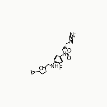 [N-]=[N+]=NC[C@H]1CN(c2ccc(NCC3CCC(C4CC4)O3)c(F)c2)C(=O)O1